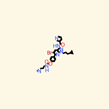 CN(C)CCCNC(=O)Oc1ccc(-c2nc3c(cc2Br)c(NC(=O)c2cccnc2)nn3CCCC2CC2)cc1